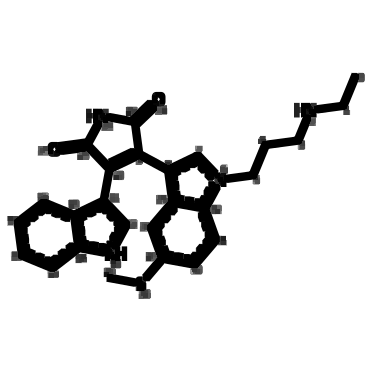 CCNCCCn1cc(C2=C(c3c[nH]c4ccccc34)C(=O)NC2=O)c2cc(SC)ccc21